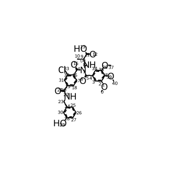 COc1cc(C(=O)N(N[C@@H](C)C(=O)O)C(=O)c2ccc(C(=O)NCc3cccc(O)c3)cc2Cl)cc(OC)c1OC